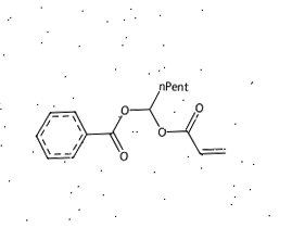 C=CC(=O)OC(CCCCC)OC(=O)c1ccccc1